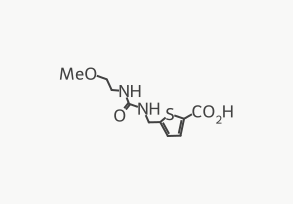 COCCNC(=O)NCc1ccc(C(=O)O)s1